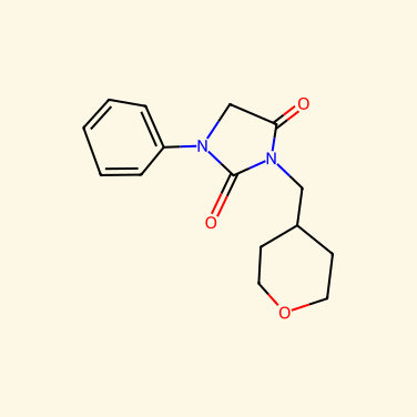 O=C1CN(c2ccccc2)C(=O)N1CC1CCOCC1